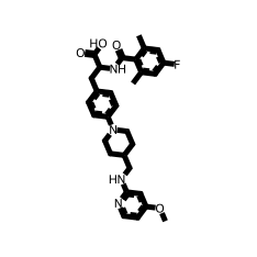 COc1ccnc(NCC2CCN(c3ccc(CC(NC(=O)c4c(C)cc(F)cc4C)C(=O)O)cc3)CC2)c1